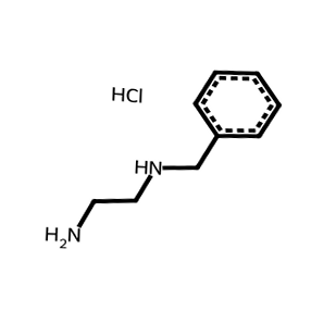 Cl.NCCNCc1ccccc1